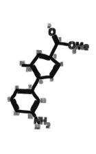 COC(=O)c1ccc(-c2cccc(N)c2)c(C)c1